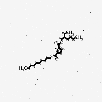 CCCCCCCCCCOC(=O)c1ccc(C(=O)OCC(CC)CCCC)o1